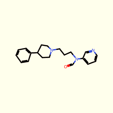 O=CN(CCCN1CCC(c2ccccc2)CC1)c1cccnc1